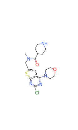 CN(Cc1cc2c(N3CCOCC3)nc(Cl)nc2s1)C(=O)C1CCNCC1